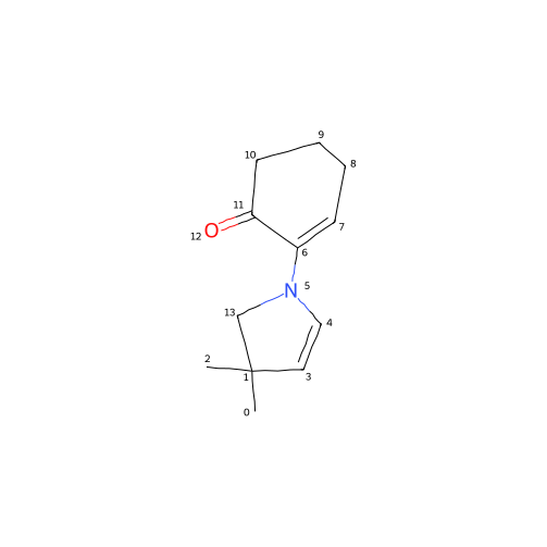 CC1(C)C=CN(C2=CCCCC2=O)C1